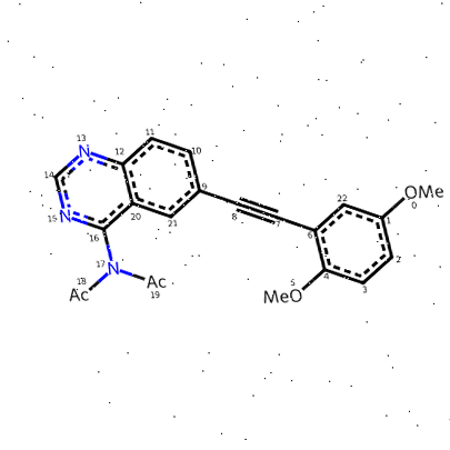 COc1ccc(OC)c(C#Cc2ccc3ncnc(N(C(C)=O)C(C)=O)c3c2)c1